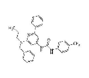 CCCN(Cc1ccccc1)c1cc(NC(=O)Nc2ccc(C)cc2)cc(-c2ccccc2)n1